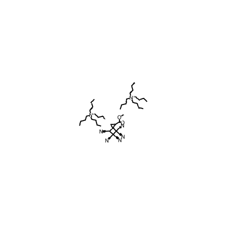 CCCC[N+](CCCC)(CCCC)CCCC.CCCC[N+](CCCC)(CCCC)CCCC.COC(=O)C1CC12C(C#N)C(C#N)(C#N)C2(C#N)C#N